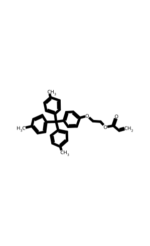 C=CC(=O)OCCOc1ccc(C(c2ccc(C)cc2)(c2ccc(C)cc2)c2ccc(C)cc2)cc1